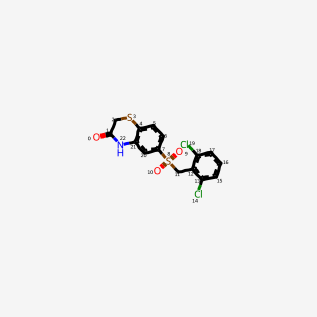 O=C1CSc2ccc(S(=O)(=O)Cc3c(Cl)cccc3Cl)cc2N1